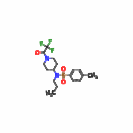 CCCN(C1CCN(C(=O)C(F)(F)F)CC1)S(=O)(=O)c1ccc(C)cc1